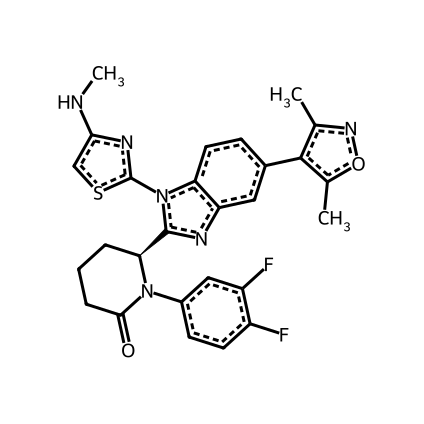 CNc1csc(-n2c([C@@H]3CCCC(=O)N3c3ccc(F)c(F)c3)nc3cc(-c4c(C)noc4C)ccc32)n1